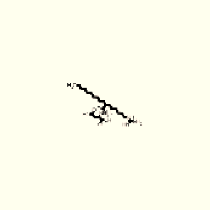 CCCCCCCCCCC(CCCCCCNC(=N)N)C(N)=O.NC(CC(=O)O)C(=O)O